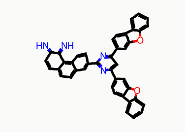 N=C1C=Cc2ccc3cc(-c4nc(-c5ccc6c(c5)oc5ccccc56)cc(-c5ccc6c(c5)oc5ccccc56)n4)ccc3c2C1=N